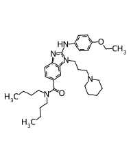 CCCCN(CCCC)C(=O)c1ccc2nc(Nc3ccc(OCC)cc3)n(CCCN3CCCCC3)c2c1